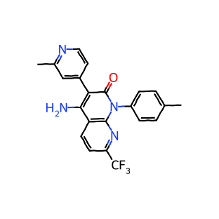 Cc1ccc(-n2c(=O)c(-c3ccnc(C)c3)c(N)c3ccc(C(F)(F)F)nc32)cc1